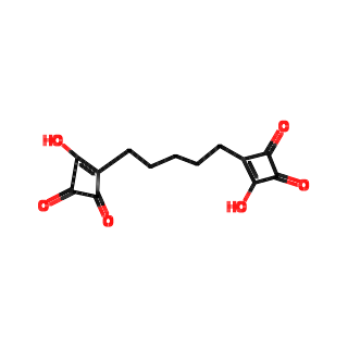 O=c1c(O)c(CCCCCc2c(O)c(=O)c2=O)c1=O